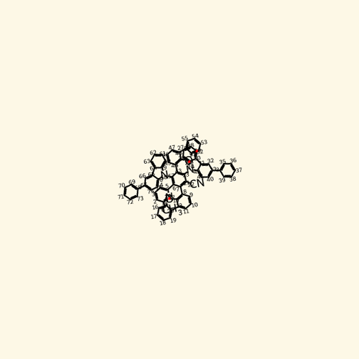 Cc1cccc(-c2c(-c3cccc4c3oc3ccccc34)c(C#N)c(-n3c4ccccc4c4cc(-c5ccccc5)ccc43)c(-c3cccc4c3oc3ccccc34)c2-n2c3ccccc3c3cc(-c4ccccc4)ccc32)n1